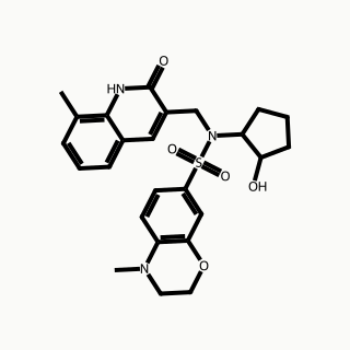 Cc1cccc2cc(CN(C3CCCC3O)S(=O)(=O)c3ccc4c(c3)OCCN4C)c(=O)[nH]c12